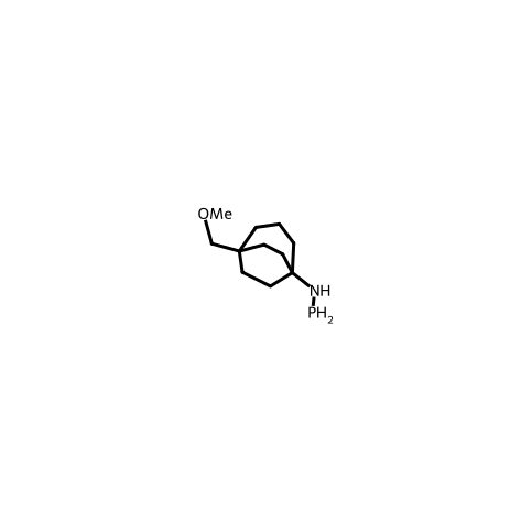 COCC12CCCC(NP)(CC1)CC2